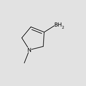 BC1=CCN(C)C1